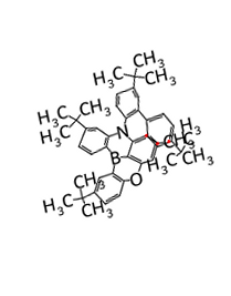 Cc1cc2c3c(c1)N(c1ccc(C(C)(C)C)cc1-c1ccc(C(C)(C)C)cc1)c1cc(C(C)(C)C)ccc1B3c1cc(C(C)(C)C)ccc1O2